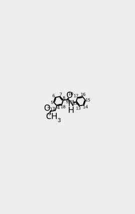 CC(=O)Cc1cccc(C(=O)Nc2ccccc2)c1